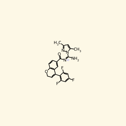 Cc1cc(C)n(/C(N)=N\C(=O)c2ccc3c(c2)C(c2c(F)cc(F)cc2F)=CCO3)n1